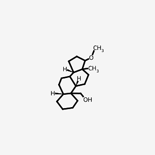 COC1CC[C@H]2C3CC[C@H]4CCCCC4(CO)[C@H]3CCC12C